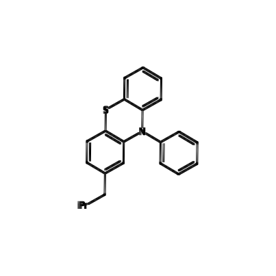 CC(C)Cc1ccc2c(c1)N(c1ccccc1)c1ccccc1S2